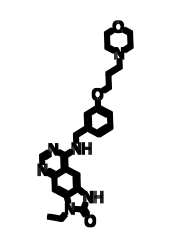 CCn1c(=O)[nH]c2cc3c(NCc4cccc(OCCCN5CCOCC5)c4)ncnc3cc21